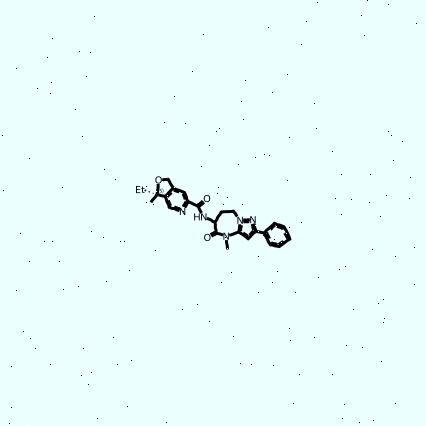 CC[C@]1(C)OCc2cc(C(=O)NC3CCn4nc(-c5ccccc5)cc4N(C)C3=O)ncc21